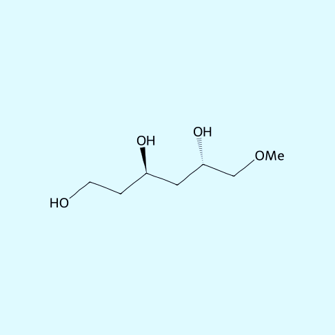 COC[C@@H](O)C[C@H](O)CCO